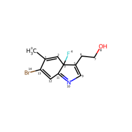 CC1=CC2(F)C(CCO)=CN=C2C=C1Br